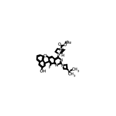 CN(C)C1CN(c2nc(N3CC[N+]4(C(=O)OC(C)(C)C)C[C@H]34)c3cc(Cl)c(-c4cc(O)cc5ccccc45)c(F)c3n2)C1